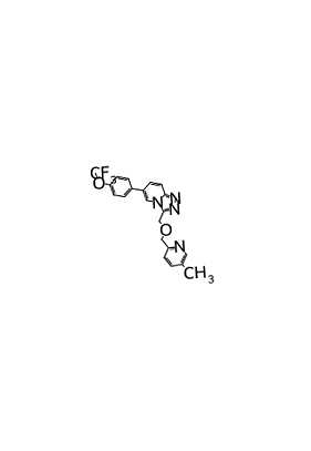 Cc1ccc(COCc2nnc3ccc(-c4ccc(OC(F)(F)F)cc4)cn23)nc1